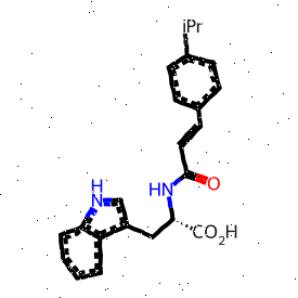 CC(C)c1ccc(C=CC(=O)N[C@@H](Cc2c[nH]c3ccccc23)C(=O)O)cc1